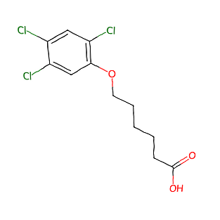 O=C(O)CCCCCOc1cc(Cl)c(Cl)cc1Cl